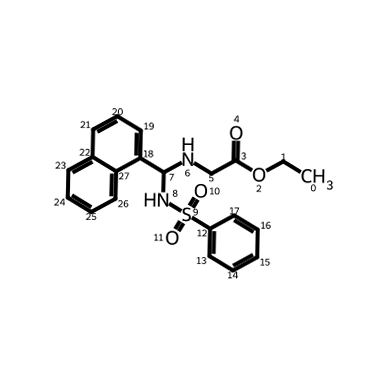 CCOC(=O)CNC(NS(=O)(=O)c1ccccc1)c1cccc2ccccc12